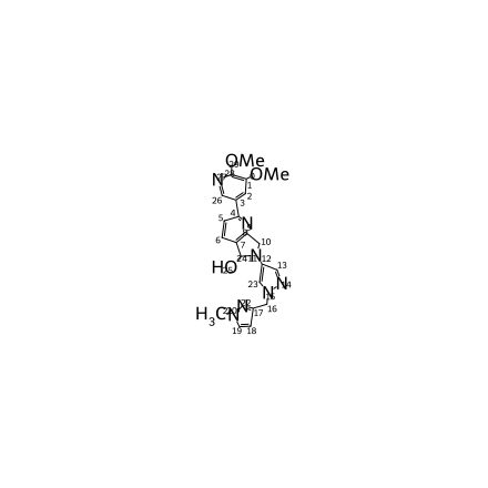 COc1cc(-c2ccc3c(n2)CN(c2cnn(Cc4ccn(C)n4)c2)C3O)cnc1OC